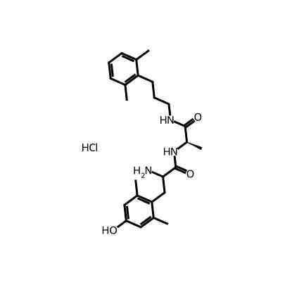 Cc1cccc(C)c1CCCNC(=O)[C@@H](C)NC(=O)C(N)Cc1c(C)cc(O)cc1C.Cl